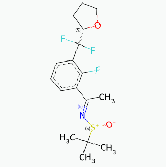 C/C(=N\[S@+]([O-])C(C)(C)C)c1cccc(C(F)(F)[C@@H]2CCCO2)c1F